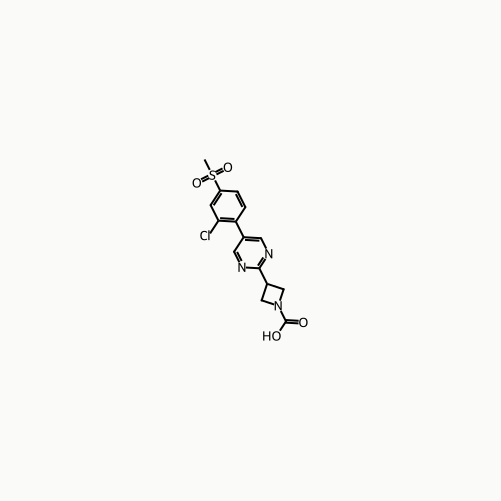 CS(=O)(=O)c1ccc(-c2cnc(C3CN(C(=O)O)C3)nc2)c(Cl)c1